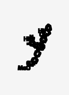 COC(=O)CN1CCC(C2CCN(C(=O)C(Cc3cc(C)c4[nH]ncc4c3)NC(=O)N3CCC(N4CCc5ccccc5NC4=O)CC3)CC2)CC1